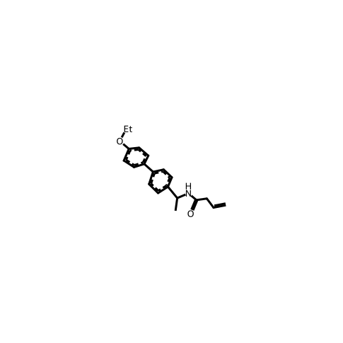 C=CCC(=O)NC(C)c1ccc(-c2ccc(OCC)cc2)cc1